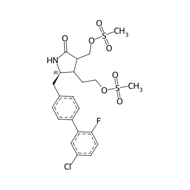 CS(=O)(=O)OCCC1C(COS(C)(=O)=O)C(=O)N[C@@H]1Cc1ccc(-c2cc(Cl)ccc2F)cc1